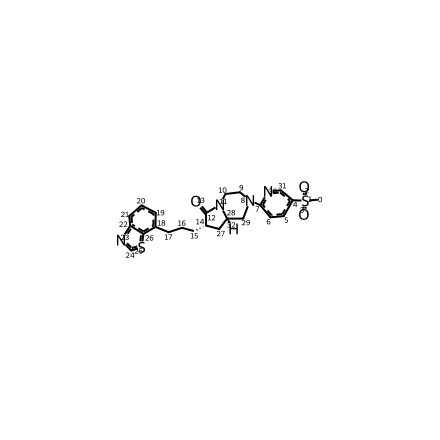 CS(=O)(=O)c1ccc(N2CCN3C(=O)[C@@H](CCCc4cccc5ncsc45)C[C@H]3C2)nc1